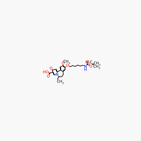 CCC1CCc2cc(OCCCCCCNC(=O)OC(C)(C)C)c(OC)cc2-c2cc(=O)c(C(=O)O)cn21